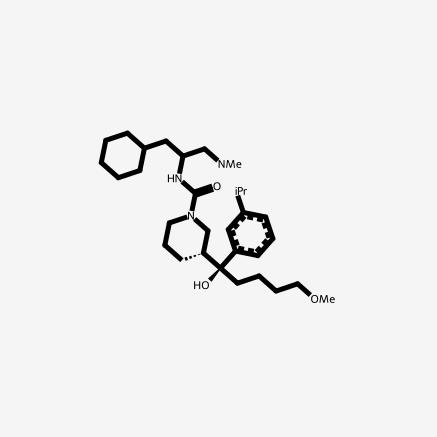 CNCC(CC1CCCCC1)NC(=O)N1CCC[C@@H]([C@@](O)(CCCCOC)c2cccc(C(C)C)c2)C1